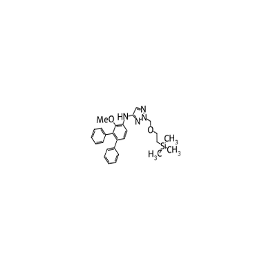 COc1c(Nc2cnn(COCC[Si](C)(C)C)n2)ccc(-c2ccccc2)c1-c1ccccc1